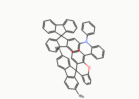 CC(C)(C)c1ccc2c(c1)C1(c3ccccc3Oc3c(-c4ccccc4N(c4ccccc4)c4ccc5c(c4)C4(c6ccccc6-c6ccccc64)c4ccccc4-5)cccc31)c1cc(C(C)(C)C)ccc1-2